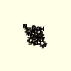 CC1(F)CCC(NC(=O)[C@H](c2ccccc2I)N(C(=O)[C@@H]2C[C@@H](O)C(=O)N2c2cc(C#N)ccn2)c2cc(F)cc(F)c2)CC1